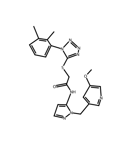 COc1cncc(Cn2nccc2NC(=O)CSc2nnnn2-c2cccc(C)c2C)c1